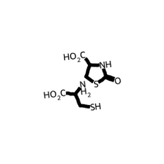 NC(CS)C(=O)O.O=C1NC(C(=O)O)CS1